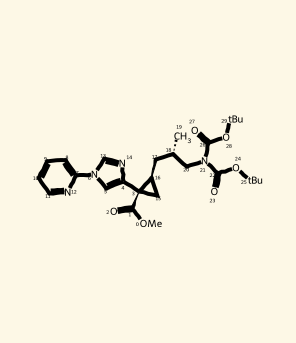 COC(=O)[C@]1(c2cn(-c3ccccn3)cn2)C[C@@H]1C[C@H](C)CN(C(=O)OC(C)(C)C)C(=O)OC(C)(C)C